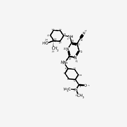 CN(C)C(=O)C1CCC(Nc2ncc(C#N)c(N[C@@H]3CCC[C@](C)(O)C3)n2)CC1